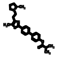 Cc1oc(-c2ccc(-c3ccc(OC(=O)N(C)C)cc3)cc2)nc1CCN1CCC[C@H]1C